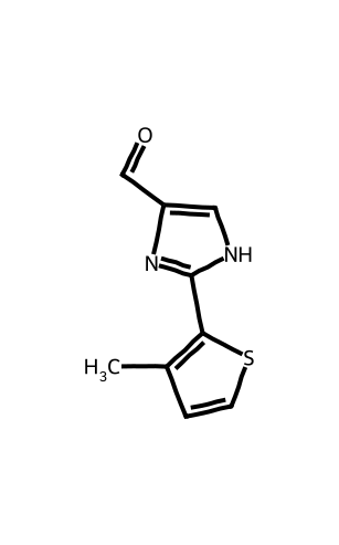 Cc1ccsc1-c1nc(C=O)c[nH]1